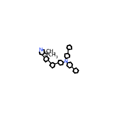 C[Si]1(C)c2cnccc2-c2ccc(-c3cccc(-c4ccc(N(c5ccc(-c6ccccc6)cc5)c5ccc(-c6ccccc6)cc5)cc4)c3)cc21